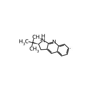 CC(C)(C)[C@@H]1Cc2cc3cc[c]cc3nc2N1